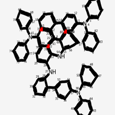 c1ccc(N(c2ccccc2)c2ccc(-c3ccccc3Nc3cccc(Nc4ccccc4-c4ccc(N(c5ccccc5)c5ccccc5)cc4)c3Nc3ccccc3-c3ccc(N(c4ccccc4)c4ccccc4)cc3)cc2)cc1